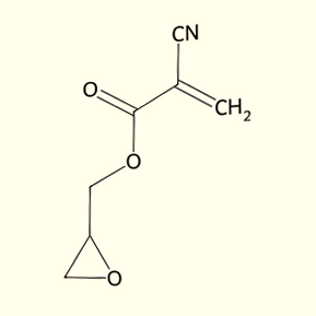 C=C(C#N)C(=O)OCC1CO1